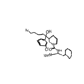 CNCC(CC1CCCCC1)NC(=O)N1CCCC(C(O)(CCCCC(C)=O)c2cccc(Cl)c2)C1